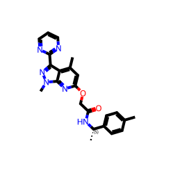 Cc1ccc([C@H](C)NC(=O)COc2cc(C)c3c(-c4ncccn4)nn(C)c3n2)cc1